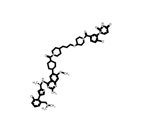 COc1cc2nc(C)nc(N[C@H](C)c3cc(-c4c(Cl)cccc4CN(C)C)cs3)c2cc1C1CCC(C(=O)N2CCC(CCCOC3CCN(C(=O)c4ccc(Cl)c(-n5ccc(=O)[nH]c5=O)c4)CC3)CC2)CC1